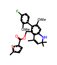 COc1cc(F)ccc1-c1c(OC)cc2c(c1COC(=O)c1ccc(C)s1)C(C)=CC(C)(C)N2